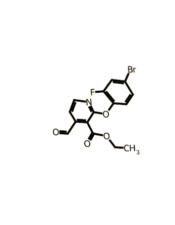 CCOC(=O)c1c(C=O)ccnc1Oc1ccc(Br)cc1F